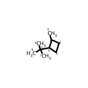 CC1CCC1C(C)(C)C